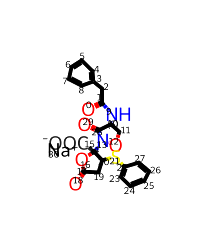 O=C(Cc1ccccc1)N[C@H]1CON(C2(C(=O)[O-])OC(=O)CC2Sc2ccccc2)C1=O.[Na+]